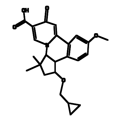 COc1ccc2c(c1)-c1cc(=O)c(C(=O)O)cn1C1C2C(OCC2CC2)CC1(C)C